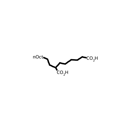 CCCCCCCCCCC(CCCCCC(=O)O)C(=O)O